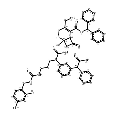 O=C(NCCCC(C(=O)N[C@H]1C(=O)N2C(C(=O)OC(c3ccccc3)c3ccccc3)=C(CO)CS[C@@H]12)c1cccc(C(C(=O)O)c2ccccc2)c1)OCc1ccc(Cl)cc1Cl